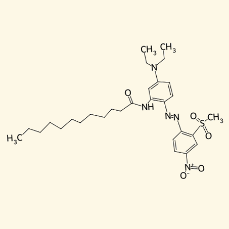 CCCCCCCCCCCC(=O)Nc1cc(N(CC)CC)ccc1N=Nc1ccc([N+](=O)[O-])cc1S(C)(=O)=O